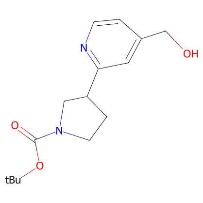 CC(C)(C)OC(=O)N1CCC(c2cc(CO)ccn2)C1